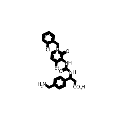 CCc1ccn(Cc2ccccc2Cl)c(=O)c1NC(=O)NC(CC(=O)O)c1ccc(CN)cc1